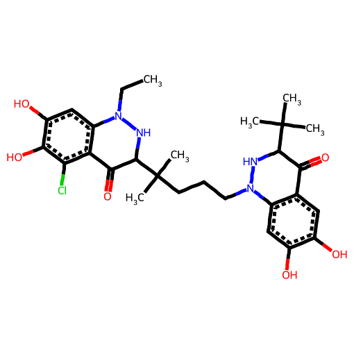 CCN1NC(C(C)(C)CCCN2NC(C(C)(C)C)C(=O)c3cc(O)c(O)cc32)C(=O)c2c1cc(O)c(O)c2Cl